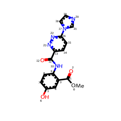 COC(=O)c1cc(O)ccc1NC(=O)c1ccc(-n2ccnc2)nn1